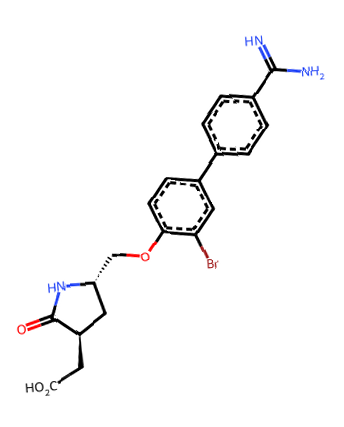 N=C(N)c1ccc(-c2ccc(OC[C@@H]3C[C@@H](CC(=O)O)C(=O)N3)c(Br)c2)cc1